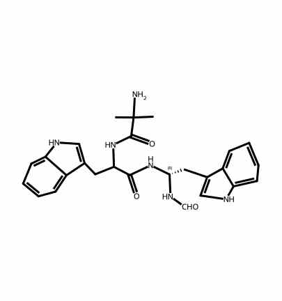 CC(C)(N)C(=O)NC(Cc1c[nH]c2ccccc12)C(=O)N[C@H](Cc1c[nH]c2ccccc12)NC=O